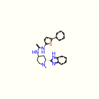 C=C(Nc1ccc(-c2ccccc2)s1)NC1CCN(C)[C@@H](c2nc3ccccc3[nH]2)C1